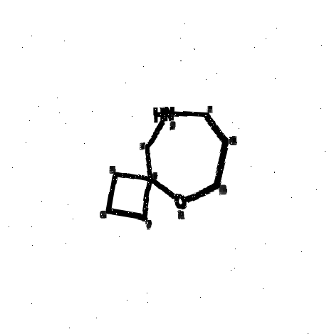 C1CNCC2(CCC2)OC1